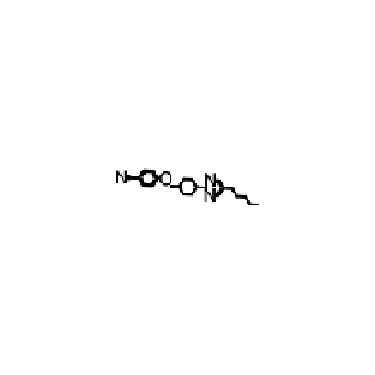 CCCCCc1cnc(C2CCC(COc3ccc(C#N)cc3)CC2)nc1